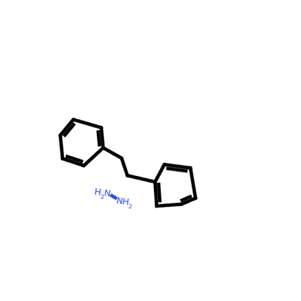 NN.c1ccc(CCc2ccccc2)cc1